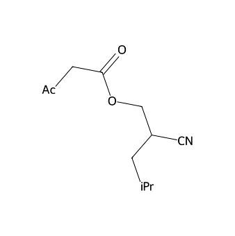 CC(=O)CC(=O)OCC(C#N)CC(C)C